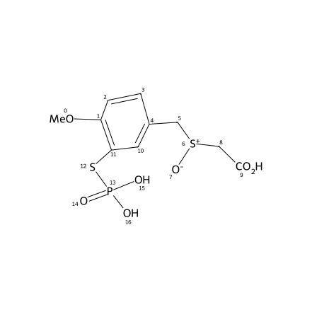 COc1ccc(C[S+]([O-])CC(=O)O)cc1SP(=O)(O)O